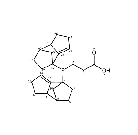 O=C(O)CCP(C12CCC(C1)C1CCC=C12)C12CCC(C1)C1CCC=C12